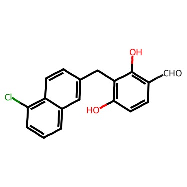 O=Cc1ccc(O)c(Cc2ccc3c(Cl)cccc3c2)c1O